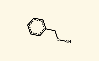 [NH]O[CH]c1ccccc1